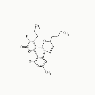 CCCCC1C=[C]c2c(c3c(CCC)c(F)c(=O)oc3c3c(=O)cc(C)oc23)O1